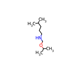 CC(C)CCCNCOC(C)C